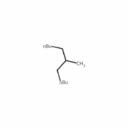 CCCCC[C](C)CCCCC